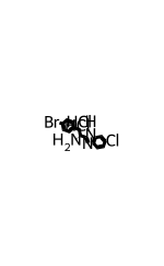 Cl.Cl.N[C@H](Cc1ccc(Br)cc1)c1nc2ccc(Cl)cc2[nH]1